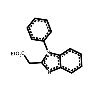 CCOC(=O)Cc1nc2ccccc2n1-c1ccccc1